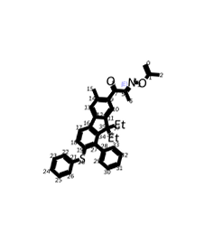 C=C(C)O/N=C(\C)C(=O)c1cc2c(cc1C)-c1ccc(Sc3ccccc3)c(-c3ccccc3)c1C2(CC)CC